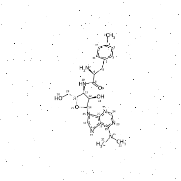 Cc1ccc(C[C@H](N)C(=O)N[C@H]2[C@@H](O)[C@H](n3cnc4c(N(C)C)ncnc43)O[C@@H]2CO)cc1